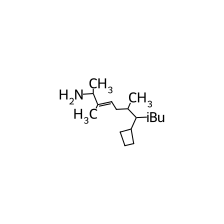 CCC(C)C(C(C)C/C=C(\C)C(C)N)C1CCC1